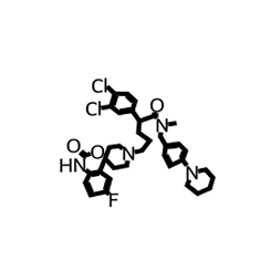 CN(Cc1ccc(N2CCCCC2)cc1)C(=O)C(CCCN1CCC2(CC1)OC(=O)Nc1ccc(F)cc12)c1ccc(Cl)c(Cl)c1